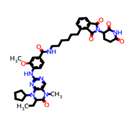 CCC1C(=O)N(C)c2cnc(Nc3ccc(C(=O)NCCCCCCc4cccc5c4C(=O)N(C4CCC(=O)NC4=O)C5=O)cc3OC)nc2N1C1CCCC1